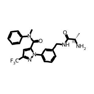 C[C@H](N)C(=O)NCc1cccc(-n2nc(C(F)(F)F)cc2C(=O)N(C)c2ccccc2)c1